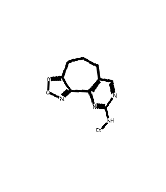 CCNc1ncc2c(n1)-c1nonc1CCC2